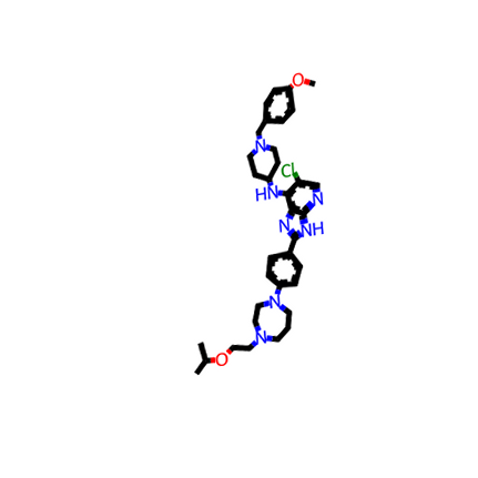 COc1ccc(CN2CCC(Nc3c(Cl)cnc4[nH]c(-c5ccc(N6CCCN(CCOC(C)C)CC6)cc5)nc34)CC2)cc1